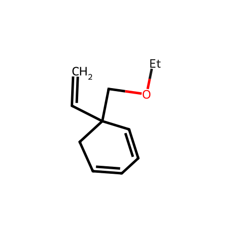 C=CC1(COCC)C=CC=CC1